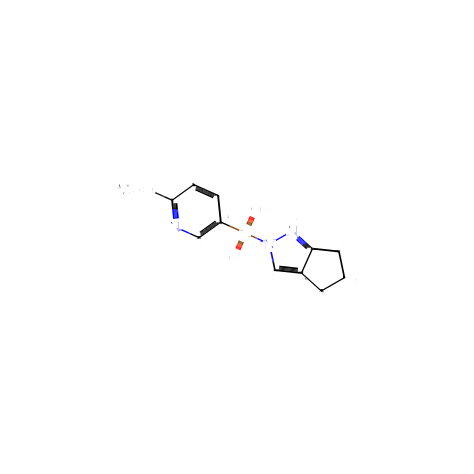 COc1ccc(S(=O)(=O)n2cc3c(n2)CCC3)cn1